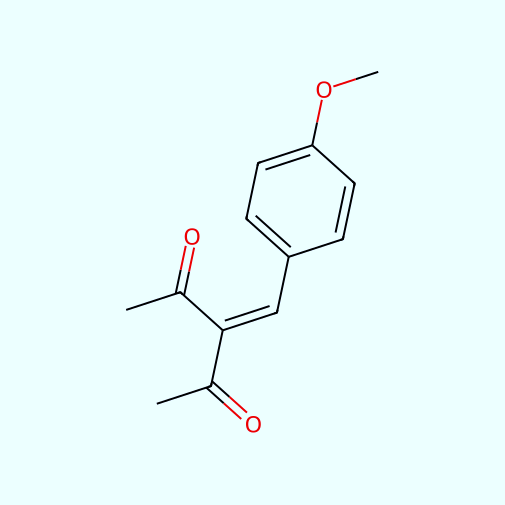 COc1ccc(C=C(C(C)=O)C(C)=O)cc1